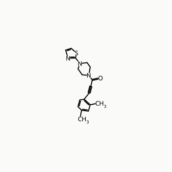 Cc1ccc(C#CC(=O)N2CCN(c3nccs3)CC2)c(C)c1